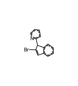 BrC1=Cc2ccccc2C1c1ccccn1